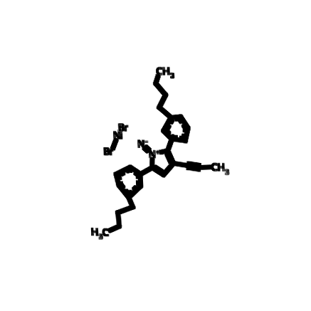 CC#CC1=C(c2cccc(CCCC)c2)[N+](=[N-])C(c2cccc(CCCC)c2)=C1.[Br][Ni][Br]